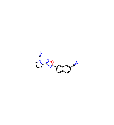 N#Cc1ccc2ccc(-c3nc(C4CCCN4C#N)no3)cc2c1